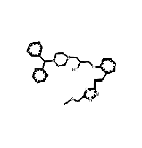 COCc1nnc(C=Cc2ccccc2OCC(O)CN2CCN(C(c3ccccc3)c3ccccc3)CC2)s1